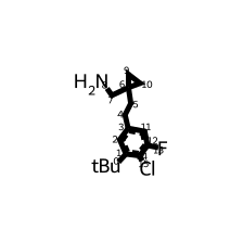 CC(C)(C)c1cc(CCC2(CN)CC2)cc(F)c1Cl